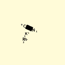 [C-]#N.[K+].[Rh]